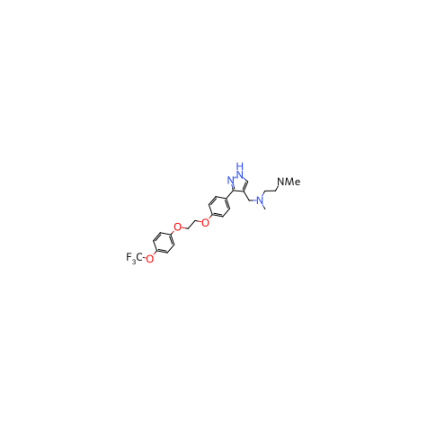 CNCCN(C)Cc1c[nH]nc1-c1ccc(OCCOc2ccc(OC(F)(F)F)cc2)cc1